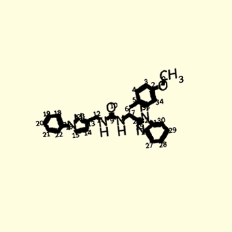 COc1ccc(C[C@@H](NC(=O)NCc2ccn(-c3ccccc3)n2)c2nc3ccccc3[nH]2)cc1